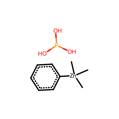 OP(O)O.[CH3][Zn]([CH3])([CH3])[c]1ccccc1